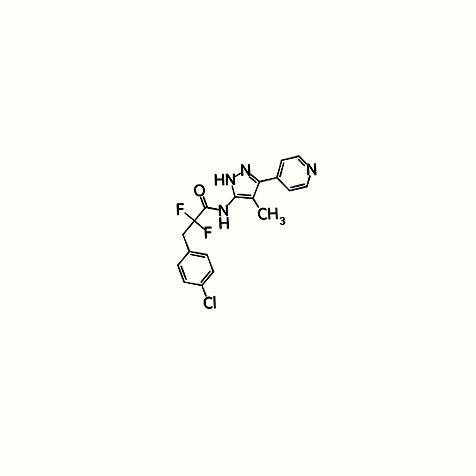 Cc1c(-c2ccncc2)n[nH]c1NC(=O)C(F)(F)Cc1ccc(Cl)cc1